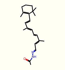 CC(=O)NN=CC=C(C)C=CC=C(C)C=CC1=C(C)CCCC1(C)C